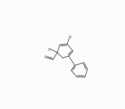 O=CC1(Cl)C=C(Cl)C=C(c2ccccc2)C1